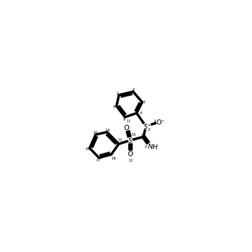 N=C([S+]([O-])c1ccccc1)S(=O)(=O)c1ccccc1